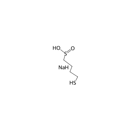 O=S(O)CCCCS.[NaH]